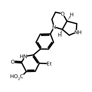 CCc1cc(C(=O)O)c(=O)[nH]c1-c1ccc(N2CCO[C@H]3CNC[C@H]32)cc1